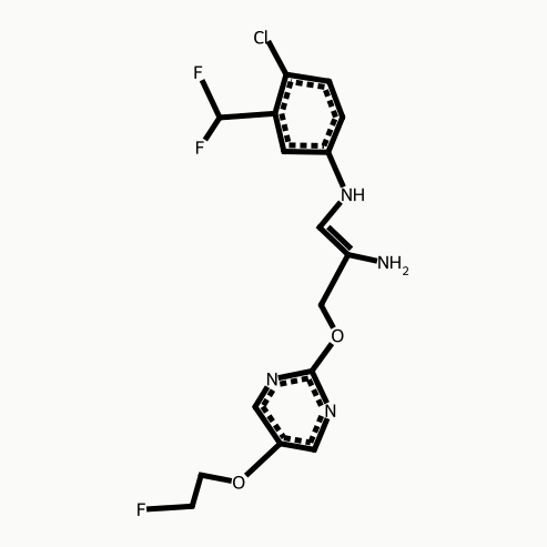 N/C(=C\Nc1ccc(Cl)c(C(F)F)c1)COc1ncc(OCCF)cn1